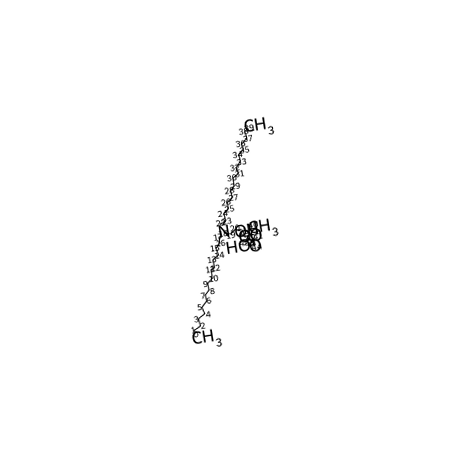 CCCCCCCCCCCCCCCCCCN(CCO)CCCCCCCCCCCCCCCCCC.COS(=O)(=O)O